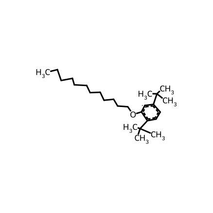 CCCCCCCCCCCCOc1[c]c(C(C)(C)C)ccc1C(C)(C)C